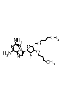 CCCCOC[C@H]1O[C@@H](c2cnc3c(N)nc(N)nn23)[C@H](F)[C@@H]1OCCCC